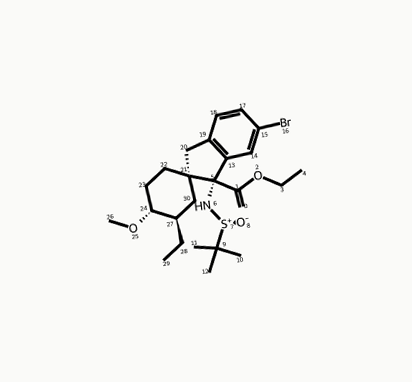 C=C(OCC)[C@]1(N[S@@+]([O-])C(C)(C)C)c2cc(Br)ccc2C[C@]12CC[C@@H](OC)[C@H](CC)C2